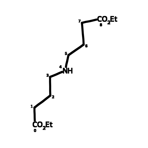 CCOC(=O)CCCNCCCC(=O)OCC